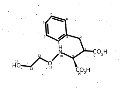 O=C(O)C(Cc1ccccc1)[C@H](NOCCO)C(=O)O